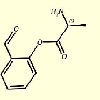 C[C@H](N)C(=O)Oc1ccccc1C=O